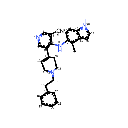 Cc1c(Nc2c(C#N)cncc2C2=CCN(CCc3ccccc3)CC2)ccc2[nH]ccc12